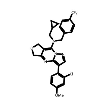 COc1ccc(-c2cnn3c(N(Cc4ccc(C(F)(F)F)cc4)CC4CC4)c4c(nc23)COC4)c(Cl)c1